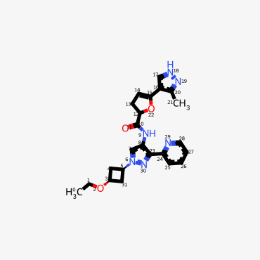 CCO[C@H]1C[C@@H](n2cc(NC(=O)C3CC=C(c4c[nH]nc4C)O3)c(-c3ccccn3)n2)C1